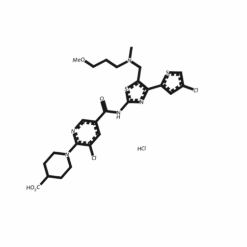 COCCCN(C)Cc1sc(NC(=O)c2cnc(N3CCC(C(=O)O)CC3)c(Cl)c2)nc1-c1cc(Cl)cs1.Cl